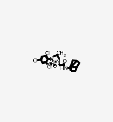 C=C1CN(CC(=O)NC2C3CC4CC(C3)CC2C4)S(=O)(=O)N(c2c(Cl)cc(Cl)cc2Cl)C1